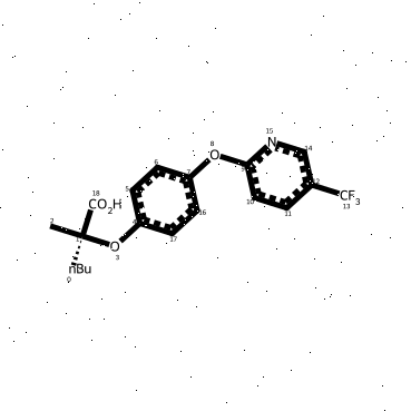 CCCC[C@@](C)(Oc1ccc(Oc2ccc(C(F)(F)F)cn2)cc1)C(=O)O